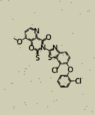 COc1ccnc2c(=O)n(-c3nc4ccc(Oc5ccccc5Cl)c(Cl)c4s3)c(=S)oc12